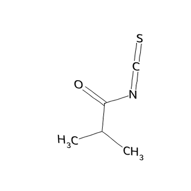 CC(C)C(=O)N=C=S